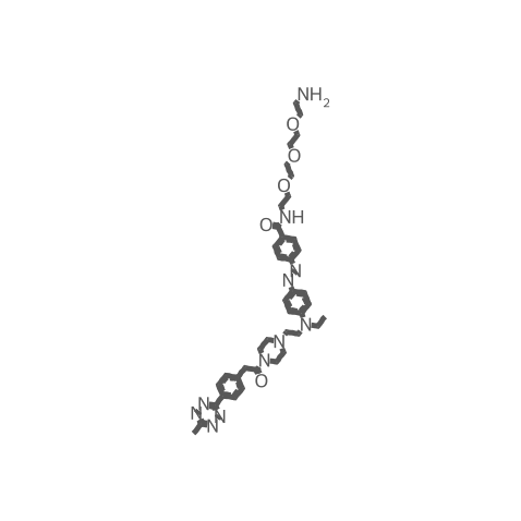 CCN(CCN1CCN(C(=O)Cc2ccc(-c3nnc(C)nn3)cc2)CC1)c1ccc(/N=N/c2ccc(C(=O)NCCOCCOCCOCCN)cc2)cc1